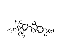 Cc1cc(COc2ccc(CC(=O)O)cc2Cl)ccc1OC(C)C